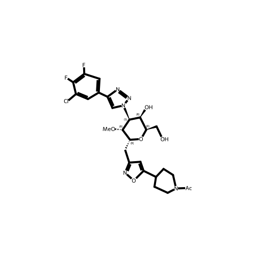 CO[C@@H]1[C@@H](n2cc(-c3cc(F)c(F)c(Cl)c3)nn2)[C@@H](O)[C@@H](CO)O[C@@H]1Cc1cc(C2CCN(C(C)=O)CC2)on1